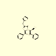 N#Cc1c(-c2ccccc2)[nH]c(-c2ccccc2)c2nc(Cc3ccco3)c(=O)n1-2